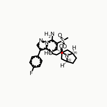 CS(=O)(=O)c1c([C@@H]2C[C@H]3CC[C@@H](C2)N3C(=O)CO)nc2c(-c3ccc(F)cc3)cnn2c1N